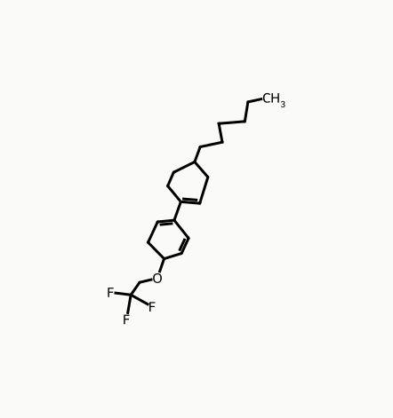 CCCCCCC1CC=C(C2=CCC(OCC(F)(F)F)C=C2)CC1